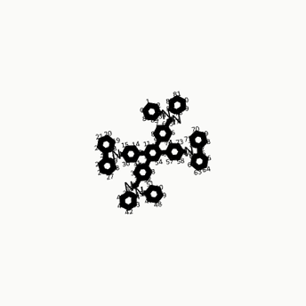 c1ccc(-n2c(-c3ccc(-c4cc(-c5ccc(-n6c7ccccc7c7ccccc76)cc5)c(-c5ccc(-c6nc7ccccc7n6-c6ccccc6)cc5)cc4-c4ccc(-n5c6ccccc6c6ccccc65)cc4)cc3)nc3ccccc32)cc1